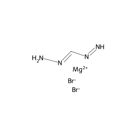 N=NC=NN.[Br-].[Br-].[Mg+2]